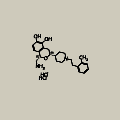 Cc1ccccc1CCN1CCC([C@H]2Cc3c(ccc(O)c3O)[C@@H](CN)O2)CC1.Cl.Cl